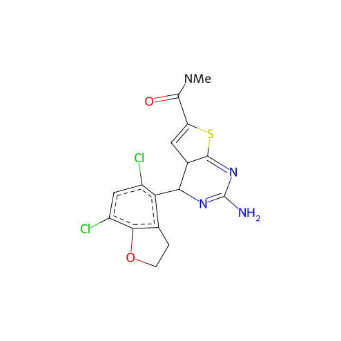 CNC(=O)C1=CC2C(=NC(N)=NC2c2c(Cl)cc(Cl)c3c2CCO3)S1